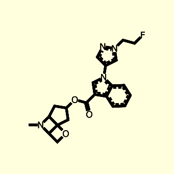 CN1C2COC23CC(OC(=O)c2cn(-c4cnn(CCF)c4)c4ccccc24)CC13